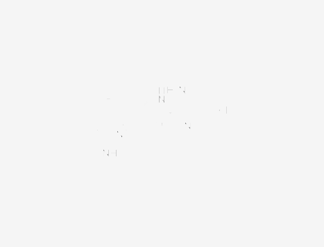 C[C@@]1(C2C=C(NC(=O)c3ncc(Cl)cc3N)C=CC2F)CCSC(N)=N1